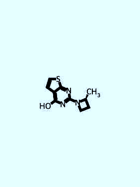 C[C@H]1CCN1c1nc(O)c2ccsc2n1